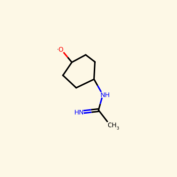 CC(=N)NC1CCC([O])CC1